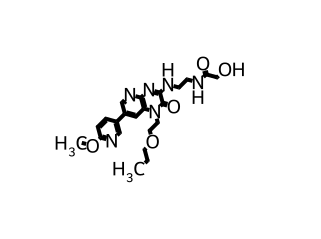 CCCOCCn1c(=O)c(NCCNC(=O)CO)nc2ncc(-c3ccc(OC)nc3)cc21